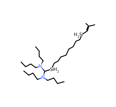 CCCCN(CCCC)C([SiH2]CCCCCCCC[SiH2]C=C(C)C)N(CCCC)CCCC